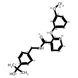 CC(C)(O)c1ccc(CNC(=O)c2cccnc2Oc2cccc(OC(F)(F)F)c2)cc1